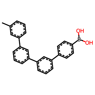 Cc1cccc(-c2cccc(-c3cccc(-c4ccc(B(O)O)cc4)c3)c2)c1